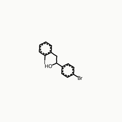 OC(Cc1ccccc1I)c1ccc(Br)cc1